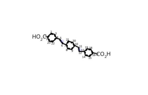 O=C(O)c1ccc(/C=C/c2ccc(/C=C/c3ccc(C(=O)O)cc3)cc2)cc1